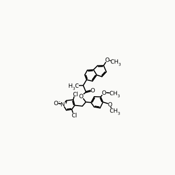 COc1ccc2cc(C(C)C(=O)OC(Cc3c(Cl)c[n+]([O-])cc3Cl)c3ccc(OC)c(OC)c3)ccc2c1